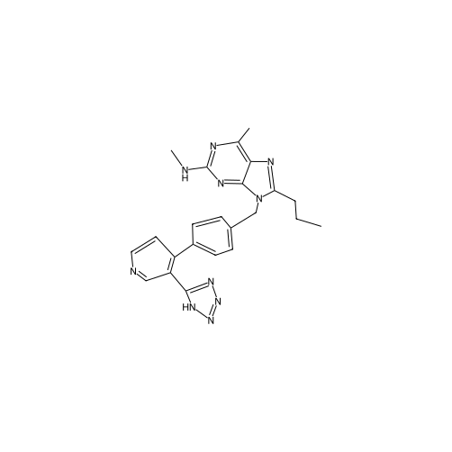 CCCc1nc2c(C)nc(NC)nc2n1Cc1ccc(-c2ccncc2-c2nnn[nH]2)cc1